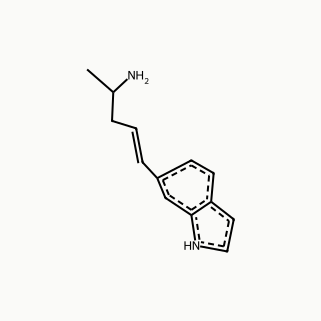 CC(N)CC=Cc1ccc2cc[nH]c2c1